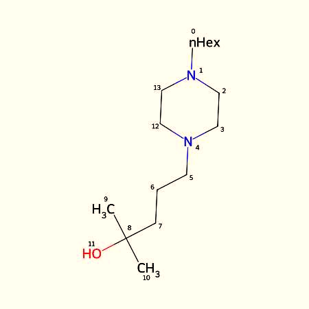 CCCCCCN1CCN(CCCC(C)(C)O)CC1